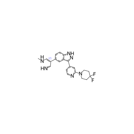 CN/C=C(\C=N)c1ccc2[nH]nc(-c3ccnc(N4CCC(F)(F)CC4)c3)c2c1